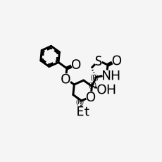 CC[C@@H]1CC(OC(=O)c2ccccc2)C[C@](O)([C@@H]2CSC(=O)N2)O1